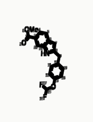 COC(=O)c1ccc2cc(Cc3ccc(OC(F)F)cc3)[nH]c2c1